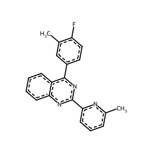 Cc1cccc(-c2nc(-c3ccc(F)c(C)c3)c3ccccc3n2)n1